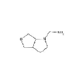 NCN1CCC2COCC21